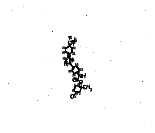 Cc1cc(Cl)ccc1OC(=O)Nc1ccc(-c2ncn(-c3ccc(OC(F)(F)F)cc3)n2)cc1